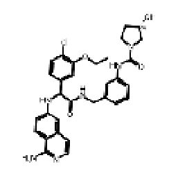 CCOc1cc(C(Nc2ccc3c(N)nccc3c2)C(=O)NCc2cccc(NC(=O)N3CC[C@H](O)C3)c2)ccc1Cl